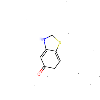 O=C1C=C2NCSC2=CC1